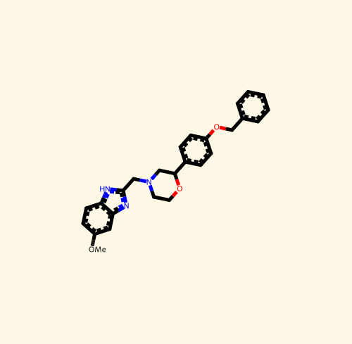 COc1ccc2[nH]c(CN3CCOC(c4ccc(OCc5ccccc5)cc4)C3)nc2c1